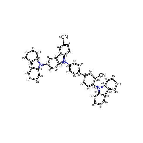 N#Cc1ccc2c(c1)c1cc(-n3c4ccccc4c4ccccc43)ccc1n2-c1ccc(-c2ccc(-n3c4ccccc4c4ccccc43)c(C#N)c2)cc1